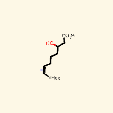 CCCCCC/C=C\CCCC(O)CC(=O)O